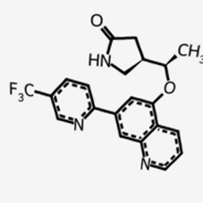 C[C@@H](Oc1cc(-c2ccc(C(F)(F)F)cn2)cc2ncccc12)[C@H]1CNC(=O)C1